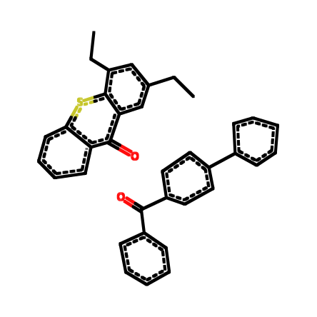 CCc1cc(CC)c2sc3ccccc3c(=O)c2c1.O=C(c1ccccc1)c1ccc(-c2ccccc2)cc1